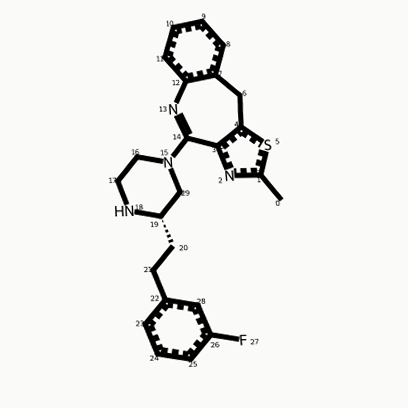 Cc1nc2c(s1)Cc1ccccc1N=C2N1CCN[C@@H](CCc2cccc(F)c2)C1